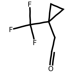 O=CCC1(C(F)(F)F)CC1